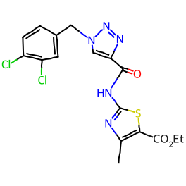 CCOC(=O)c1sc(NC(=O)c2cn(Cc3ccc(Cl)c(Cl)c3)nn2)nc1C